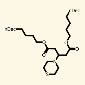 CCCCCCCCCCCCCCOC(=O)CC(CC(=O)OCCCCCCCCCCCCCC)N1CCSCC1